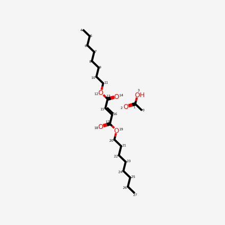 CC(=O)O.CCCCCCCCOC(=O)C=CC(=O)OCCCCCCCC